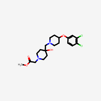 COC(=O)CN1CCC(O)(CN2CCC(Oc3ccc(Cl)c(Cl)c3)CC2)CC1